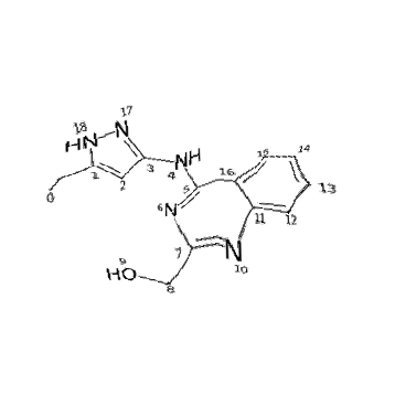 Cc1cc(Nc2nc(CO)nc3ccccc23)n[nH]1